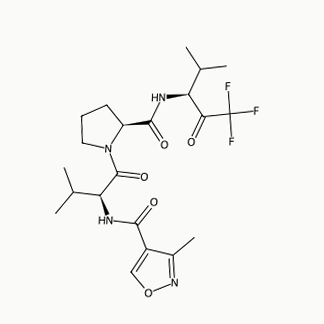 Cc1nocc1C(=O)N[C@H](C(=O)N1CCC[C@H]1C(=O)N[C@H](C(=O)C(F)(F)F)C(C)C)C(C)C